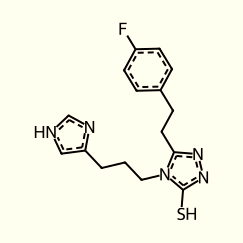 Fc1ccc(CCc2nnc(S)n2CCCc2c[nH]cn2)cc1